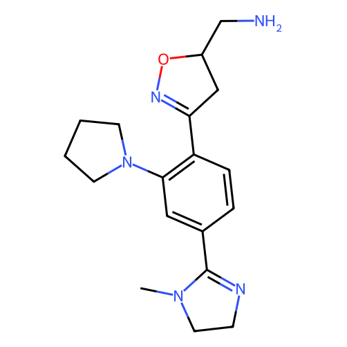 CN1CCN=C1c1ccc(C2=NOC(CN)C2)c(N2CCCC2)c1